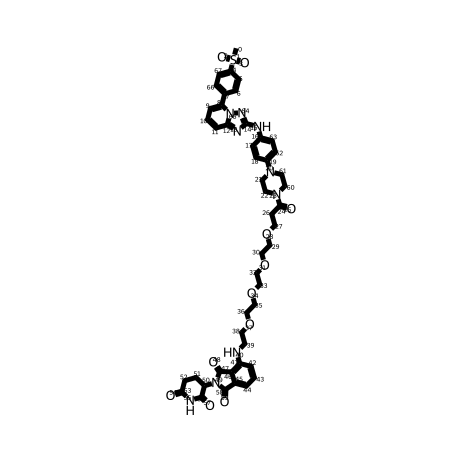 CS(=O)(=O)c1ccc(-c2cccc3nc(Nc4ccc(N5CCN(C(=O)CCOCCOCCOCCOCCNc6cccc7c6C(=O)N(C6CCC(=O)NC6=O)C7=O)CC5)cc4)nn23)cc1